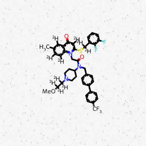 [2H]c1c(C)c([2H])c2c(=O)c([2H])c(SC([2H])([2H])c3cccc(F)c3F)n(CC(=O)N(Cc3ccc(-c4ccc(C(F)(F)F)cc4)cc3)C3CCN(C([2H])([2H])C([2H])([2H])OC)CC3)c2c1[2H]